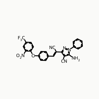 N#C/C(=C\c1ccc(Oc2ccc(C(F)(F)F)cc2[N+](=O)[O-])cc1)c1nn(-c2ccccc2)c(N)c1C#N